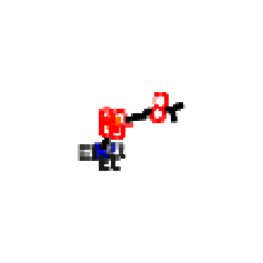 C=C(C)C(=O)OCCCCOP(=O)([O-])OCC[N+](CC)(CC)CC